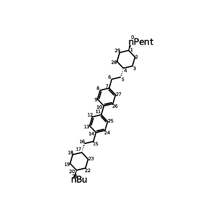 CCCCC[C@H]1CC[C@H](CCc2ccc(-c3ccc(CC[C@H]4CC[C@H](CCCC)CC4)cc3)cc2)CC1